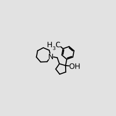 Cc1cccc(C2(O)CCCC2CN2CCCCCC2)c1